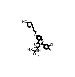 CC(C)NC(=O)Cn1c(-c2ccc(F)c(Cl)c2)nc2ccc(OCCCN3CCC(O)CC3)cc2c1=O